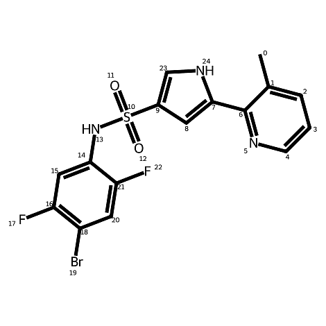 Cc1cccnc1-c1cc(S(=O)(=O)Nc2cc(F)c(Br)cc2F)c[nH]1